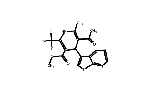 COC(=O)C1=C(C(F)(F)F)NC(C)=C(C(C)=O)C1c1csc2ncccc12